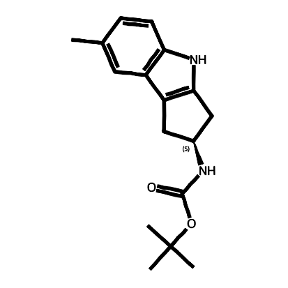 Cc1ccc2[nH]c3c(c2c1)C[C@H](NC(=O)OC(C)(C)C)C3